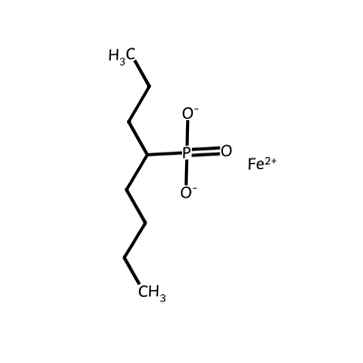 CCCCC(CCC)P(=O)([O-])[O-].[Fe+2]